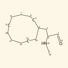 O=CC(CC1CCCCCCCCCC1)NI